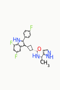 CC(NC(=O)[C@H]1C[C@H](c2c(-c3ccc(F)cc3)[nH]c3c(F)cc(F)cc32)C1)c1ccn[nH]1